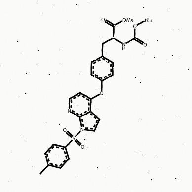 COC(=O)C(Cc1ccc(Oc2ccnc3c2ccn3S(=O)(=O)c2ccc(C)cc2)cc1)NC(=O)OC(C)(C)C